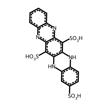 O=S(=O)(O)c1ccc2c(c1)Nc1c(c(S(=O)(=O)O)c3nc4ccccc4nc3c1S(=O)(=O)O)N2